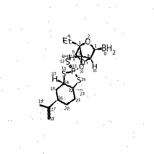 B[C@@H]1O[C@@]2(CC)[C@@H](C)O[C@@H]1[C@@H]2O[P@@]1(=S)S[C@H]2C[C@H](C(=C)C)CC[C@]2(C)S1